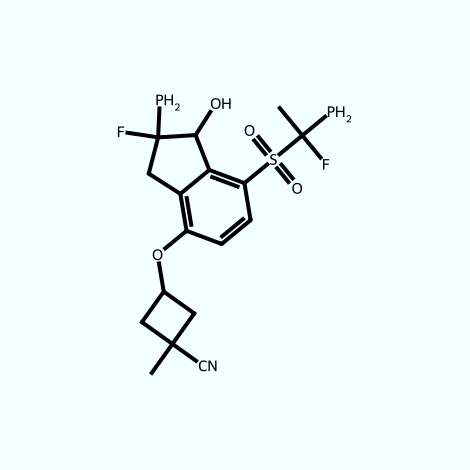 CC1(C#N)CC(Oc2ccc(S(=O)(=O)C(C)(F)P)c3c2CC(F)(P)C3O)C1